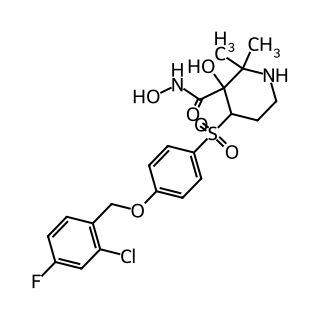 CC1(C)NCCC(S(=O)(=O)c2ccc(OCc3ccc(F)cc3Cl)cc2)C1(O)C(=O)NO